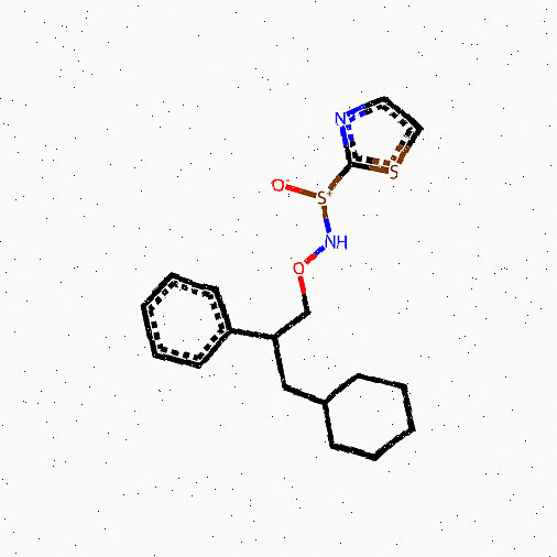 [O-][S+](NOCC(CC1CCCCC1)c1ccccc1)c1nccs1